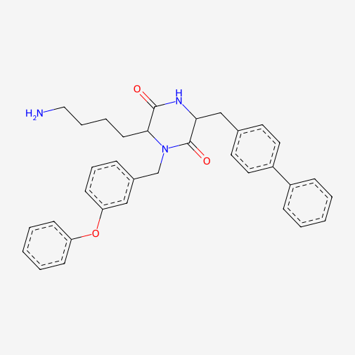 NCCCCC1C(=O)NC(Cc2ccc(-c3ccccc3)cc2)C(=O)N1Cc1cccc(Oc2ccccc2)c1